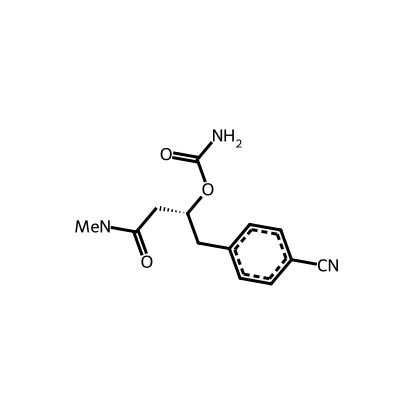 CNC(=O)C[C@@H](Cc1ccc(C#N)cc1)OC(N)=O